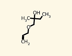 C=CCOCC(C)(O)CC